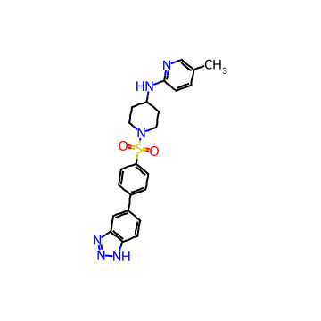 Cc1ccc(NC2CCN(S(=O)(=O)c3ccc(-c4ccc5[nH]nnc5c4)cc3)CC2)nc1